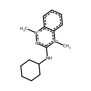 C[n+]1nc(NC2CCCCC2)[n+](C)c2ccccc21